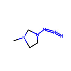 CN1CCN(N=[N+]=[N-])C1